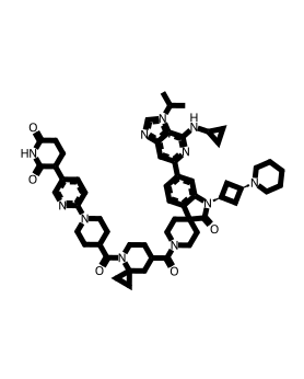 CC(C)n1cnc2cc(-c3ccc4c(c3)N([C@H]3C[C@@H](N5CCCCC5)C3)C(=O)C43CCN(C(=O)C4CCN(C(=O)C5CCN(c6ccc(C7CCC(=O)NC7=O)cn6)CC5)C5(CC5)C4)CC3)nc(NC3CC3)c21